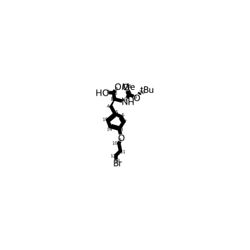 COC(O)[C@H](Cc1ccc(OCCCBr)cc1)NC(=O)OC(C)(C)C